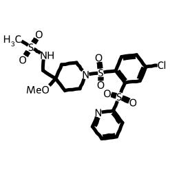 COC1(CNS(C)(=O)=O)CCN(S(=O)(=O)c2ccc(Cl)cc2S(=O)(=O)c2ccccn2)CC1